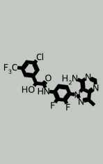 Cc1nn(-c2ccc(NC(=O)C(O)c3cc(Cl)cc(C(F)(F)F)c3)c(F)c2F)c2c(N)ncnc12